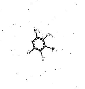 CCc1cc(N)c(C)c(N)c1CC